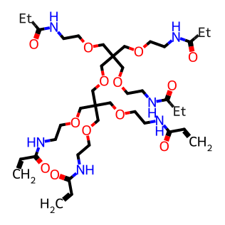 C=CC(=O)NCCOCC(COCCNC(=O)C=C)(COCCNC(=O)C=C)COCC(COCCNC(=O)CC)(COCCNC(=O)CC)COCCNC(=O)CC